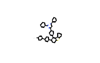 N#Cc1ccc(-c2ccc(-c3ccc4sc5ccccc5c4c3-c3ccc(-c4cc(-c5ccccc5)nc(-c5ccccc5)n4)cc3)cc2)cc1